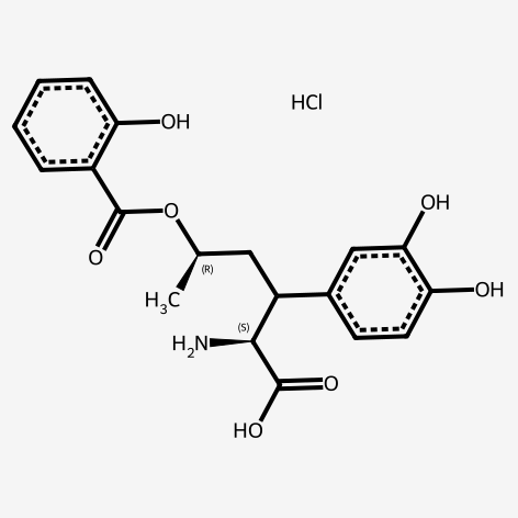 C[C@H](CC(c1ccc(O)c(O)c1)[C@H](N)C(=O)O)OC(=O)c1ccccc1O.Cl